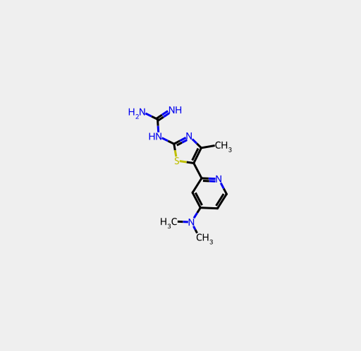 Cc1nc(NC(=N)N)sc1-c1cc(N(C)C)ccn1